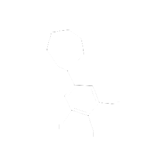 Fc1cc(C2CCCCCC2)cc(F)c1F